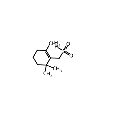 CC1=C(CS(=O)(=O)P)C(C)(C)CCC1